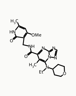 CCN(c1c(C)c(C(=O)NCc2c(OC)cc(C)[nH]c2=O)nc2ncnn12)C1CCOCC1